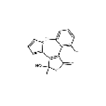 CC1(O)OC(=O)C(c2c(F)cccc2Cl)=C1c1cccs1